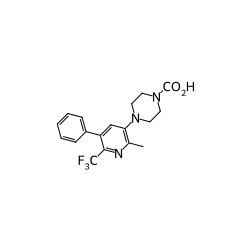 Cc1nc(C(F)(F)F)c(-c2ccccc2)cc1N1CCN(C(=O)O)CC1